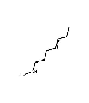 CCC=CCCCNO